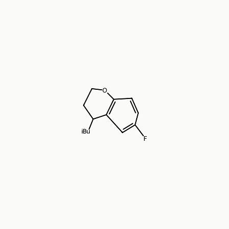 CCC(C)C1CCOc2ccc(F)cc21